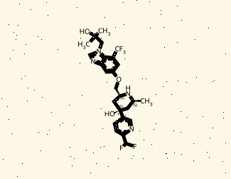 C[C@H]1C[C@@](O)(c2ccc(C(F)F)nc2)C[C@@H](COc2cc(C(F)(F)F)c3c(c2)ncn3CC(C)(C)O)N1